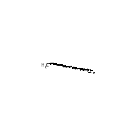 [CH2]C#CCCCCCCCCCCCCCCCCCCCCCCCCC[CH2]